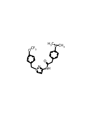 CN(C)c1ccc(CC(=O)Nc2ccn(Cc3ccc(OC(F)(F)F)cc3)n2)cc1